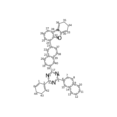 C1=CC(c2nc(-c3ccc4ccccc4c3)nc(-c3ccc4cc(-c5cccc6c7c(oc56)=CCCC=7)ccc4c3)n2)=CCC1